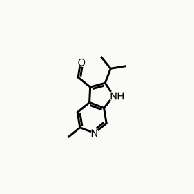 Cc1cc2c(C=O)c(C(C)C)[nH]c2cn1